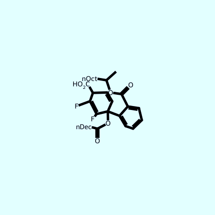 CCCCCCCCCCC(=O)OC1(c2ccccc2C(=O)OC(C)CCCCCCCC)C=CC(C(=O)O)C(F)=C1F